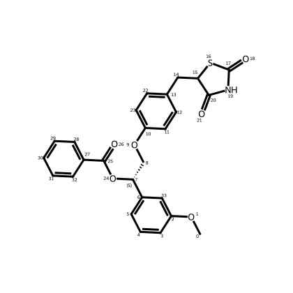 COc1cccc([C@@H](COc2ccc(CC3SC(=O)NC3=O)cc2)OC(=O)c2ccccc2)c1